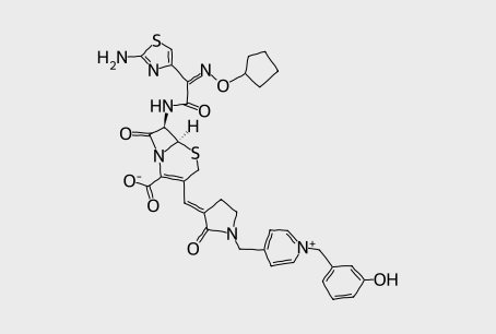 Nc1nc(/C(=N/OC2CCCC2)C(=O)N[C@@H]2C(=O)N3C(C(=O)[O-])=C(C=C4CCN(Cc5cc[n+](Cc6cccc(O)c6)cc5)C4=O)CS[C@H]23)cs1